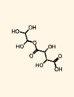 O=C(O)C(O)C(O)C(=O)OC(O)C(O)O